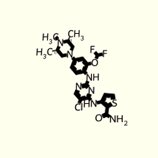 C[C@@H]1CN(c2ccc(Nc3ncc(Cl)c(Nc4ccsc4C(N)=O)n3)c(OC(F)F)c2)C[C@H](C)N1C